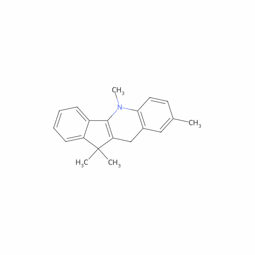 Cc1ccc2c(c1)CC1=C(c3ccccc3C1(C)C)N2C